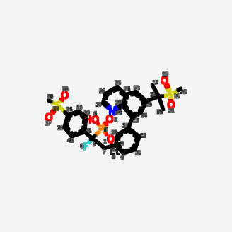 CCOP(=O)(O)C(F)(Cc1cccc(-c2cc(C(C)(C)S(C)(=O)=O)cc3cccnc23)c1)c1ccc(S(C)(=O)=O)cc1